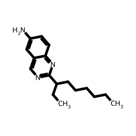 CCCCCCC(CC)c1ncc2cc(N)ccc2n1